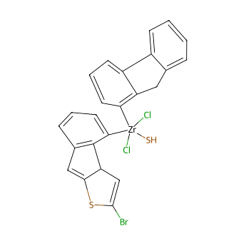 [SH][Zr]([Cl])([Cl])([c]1cccc2c1Cc1ccccc1-2)[c]1cccc2c1C1C=C(Br)SC1=C2